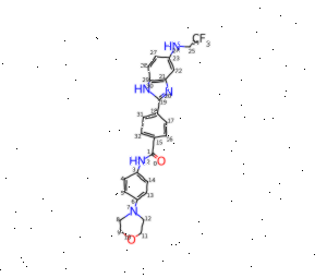 O=C(Nc1ccc(N2CCOCC2)cc1)c1ccc(-c2nc3cc(NCC(F)(F)F)ccc3[nH]2)cc1